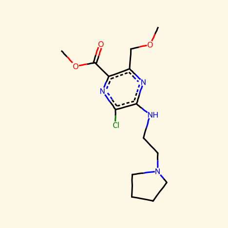 COCc1nc(NCCN2CCCC2)c(Cl)nc1C(=O)OC